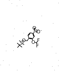 CC(C)(C)[Si](C)(C)OCc1ccc([N+](=O)[O-])cc1OC(F)F